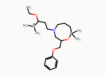 CCOC(CCN1CCC[Si](C)(C)OC(COc2ccccc2)C1)[SiH](C)C